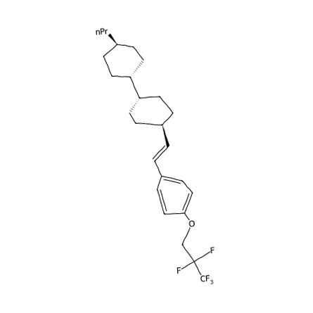 CCC[C@H]1CC[C@H]([C@H]2CC[C@H](C=Cc3ccc(OCC(F)(F)C(F)(F)F)cc3)CC2)CC1